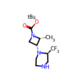 C[C@@H]1[C@H](N2CCNC[C@@H]2C(F)(F)F)CN1C(=O)OC(C)(C)C